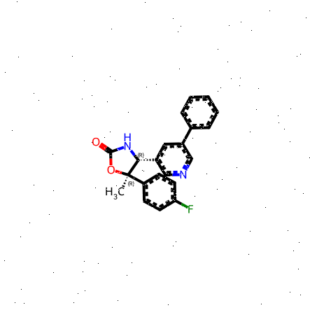 C[C@]1(c2ccc(F)cc2)OC(=O)N[C@@H]1c1cncc(-c2ccccc2)c1